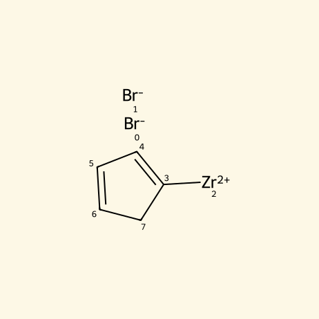 [Br-].[Br-].[Zr+2][C]1=CC=CC1